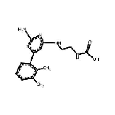 Cc1cccc(-c2cc(NCCNC(=O)O)nc(N)n2)c1C